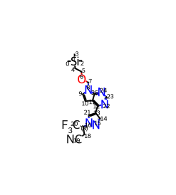 C[Si](C)(C)CCOCn1ccc2c(-c3cnn([C@H](CC#N)C(F)(F)F)c3)ncnc21